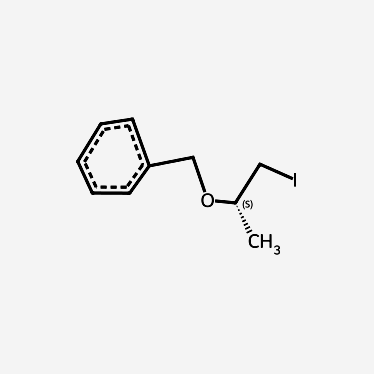 C[C@@H](CI)OCc1ccccc1